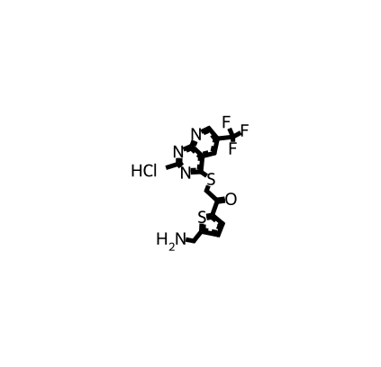 Cc1nc(SCC(=O)c2ccc(CN)s2)c2cc(C(F)(F)F)cnc2n1.Cl